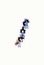 O=C1NC(=O)/C(=C\c2ccnc(N3CCC(CNc4ccc5nccn5n4)CC3)n2)S1